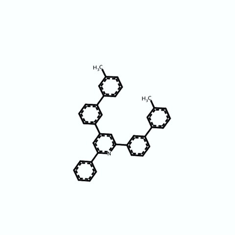 Cc1cccc(-c2cccc(-c3cc(-c4ccccc4)nc(-c4cccc(-c5cccc(C)c5)c4)c3)c2)c1